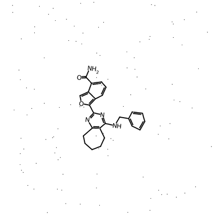 NC(=O)c1cccc2c(-c3nc4c(c(NCc5ccccc5)n3)CCCCC4)occ12